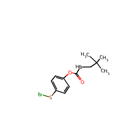 CC(C)(C)CBC(=O)Oc1ccc(SBr)cc1